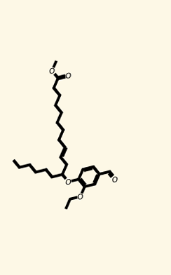 CCCCCCC(CC=CCCCCCCCC(=O)OC)Oc1ccc(C=O)cc1OCC